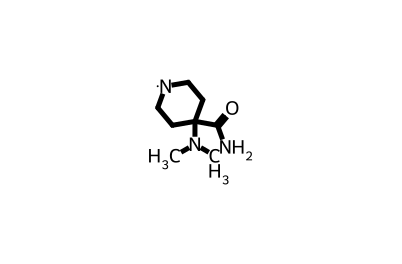 CN(C)C1(C(N)=O)CC[N]CC1